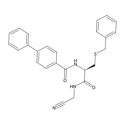 N#CCNC(=O)[C@H](CSCc1ccccc1)NC(=O)c1ccc(-c2ccccc2)cc1